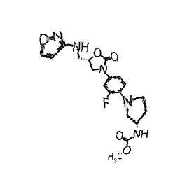 COC(=O)N[C@H]1CCN(c2ccc(N3C[C@H](CNc4ccon4)OC3=O)cc2F)C1